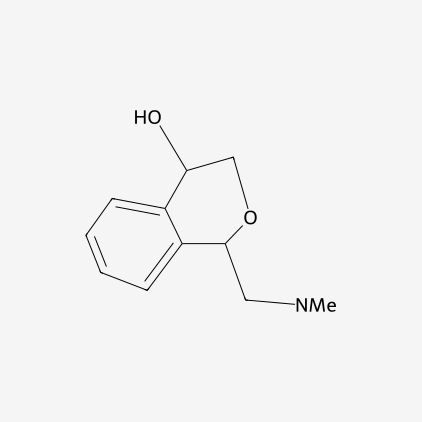 CNCC1OCC(O)c2ccccc21